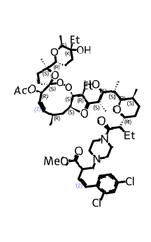 CCC(C(=O)N1CCN(CC(/C=C\c2ccc(Cl)cc2Cl)C(=O)OC)CC1)[C@H]1CC[C@H](C)[C@H]([C@@H](C)[C@H](O)[C@H](C)C(=O)[C@H](CC)[C@H]2OO[C@@]3(CC[C@@](C)([C@H]4CC[C@](O)(CC)[C@H](C)O4)O3)[C@H](OC(C)=O)/C=C\[C@H](C)C[C@@H]2C)O1